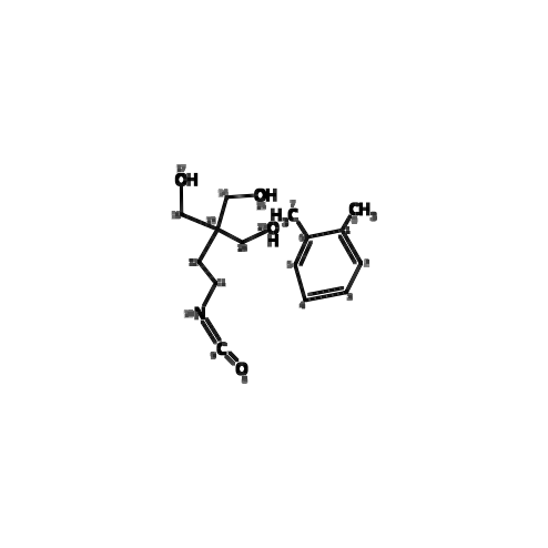 Cc1ccccc1C.O=C=NCCC(CO)(CO)CO